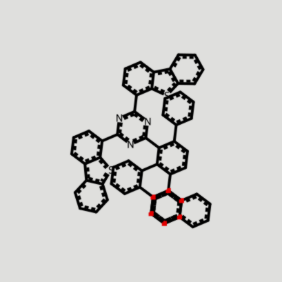 c1ccc(-c2ccccc2-c2c(-c3cccc4ccccc34)ccc(-c3ccccc3)c2-c2nc(-c3cccc4c3sc3ccccc34)nc(-c3cccc4c3sc3ccccc34)n2)cc1